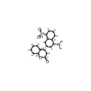 CN(C)c1cccc2c([SH](=O)=O)cccc12.O=c1ccc2ccccc2o1